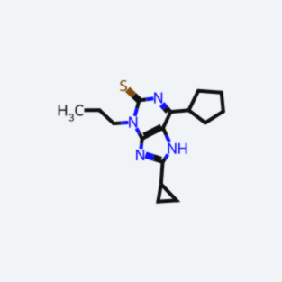 CCCn1c(=S)nc(C2CCCC2)c2[nH]c(C3CC3)nc21